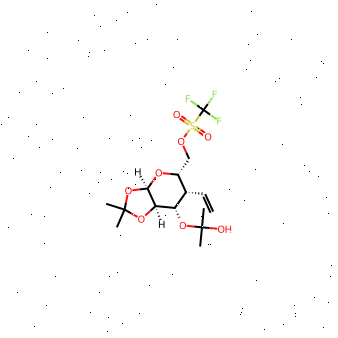 C=C[C@@H]1[C@H](OC(C)(C)O)[C@H]2OC(C)(C)O[C@H]2O[C@@H]1COS(=O)(=O)C(F)(F)F